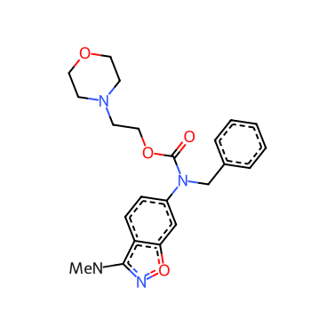 CNc1noc2cc(N(Cc3ccccc3)C(=O)OCCN3CCOCC3)ccc12